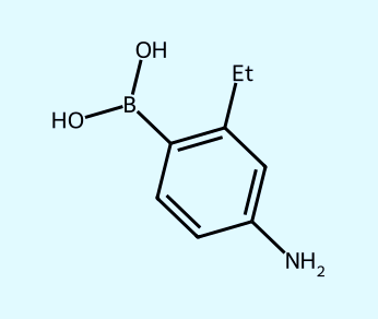 CCc1cc(N)ccc1B(O)O